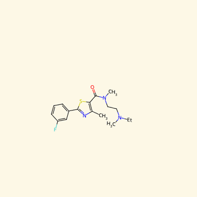 CCN(C)CCN(C)C(=O)c1sc(-c2cccc(F)c2)nc1C